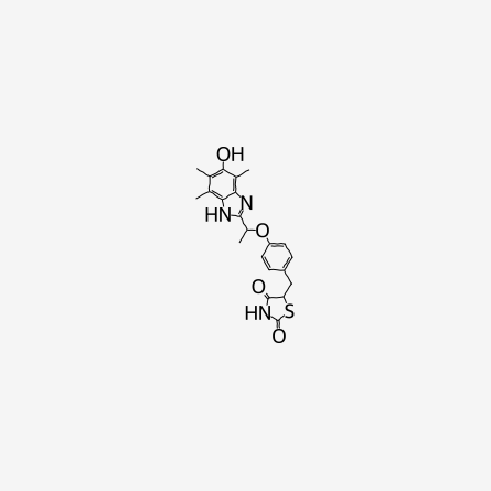 Cc1c(O)c(C)c2nc(C(C)Oc3ccc(CC4SC(=O)NC4=O)cc3)[nH]c2c1C